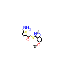 Cc1nc(SCC(=O)c2ccc(CN)s2)c2cc(OC3CC3)ccc2n1